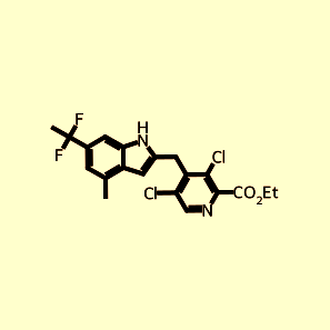 CCOC(=O)c1ncc(Cl)c(Cc2cc3c(C)cc(C(C)(F)F)cc3[nH]2)c1Cl